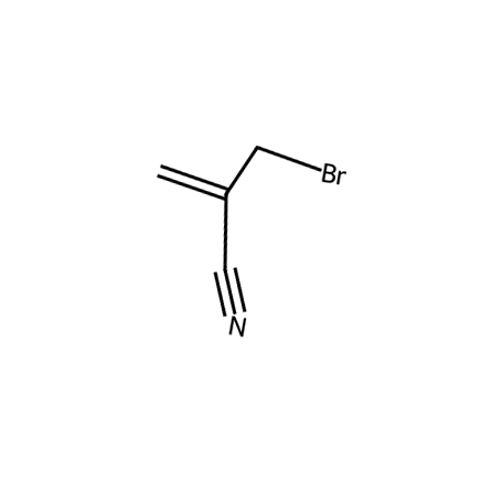 C=C(C#N)CBr